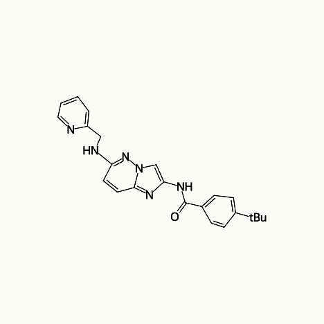 CC(C)(C)c1ccc(C(=O)Nc2cn3nc(NCc4ccccn4)ccc3n2)cc1